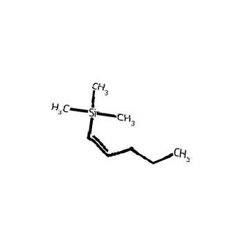 CCC/C=C\[Si](C)(C)C